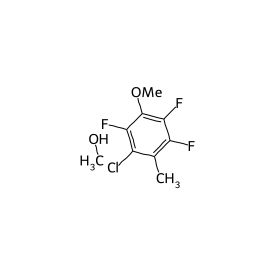 CO.COc1c(F)c(F)c(C)c(Cl)c1F